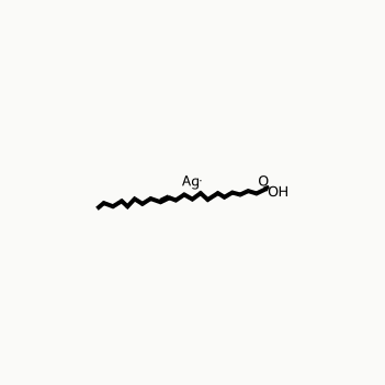 CCCCCCCCC=CCCCCCCCCCCCC(=O)O.[Ag]